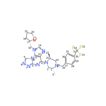 C[C@@H]1CN(c2nc3nncn3c3c2ncn3C[C@@H]2CCCO2)[C@@H](C)CN1Cc1ccc(C(F)(F)F)cc1